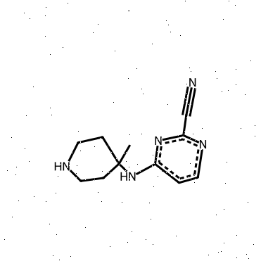 CC1(Nc2ccnc(C#N)n2)CCNCC1